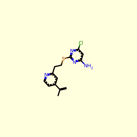 C=C(C)c1ccnc(CCSc2nc(N)cc(Cl)n2)c1